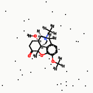 [2H]O[C@@]12CCC(=O)C3([2H])Oc4c(OC([2H])([2H])[2H])ccc5c4[C@@]31CCN(C([2H])([2H])[2H])[C@@H]2C5([2H])[2H]